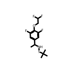 CC(NSC(C)(C)C)c1cc(F)c(OCC(F)F)c(F)c1